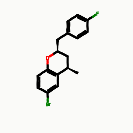 C[C@@H]1C[C@H](Cc2ccc(F)cc2)Oc2ccc(Br)cc21